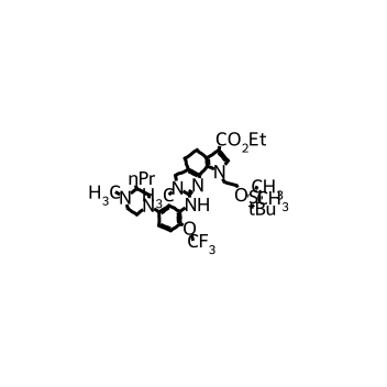 CCCC1CN(c2ccc(OC(F)(F)F)c(NC3=NC4=C(CCc5c(C(=O)OCC)cn(CCO[Si](C)(C)C(C)(C)C)c54)CN3C)c2)CCN1C